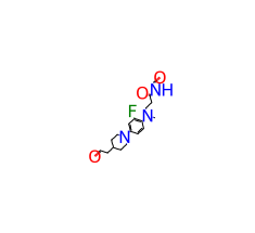 CN(CCC(=O)NC=O)c1ccc(N2CCC(CC=O)CC2)cc1F